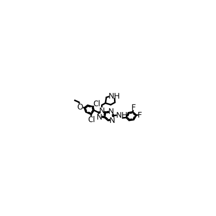 CCOc1cc(Cl)c(-c2nc3cnc(NCc4ccc(F)c(F)c4)nc3n2CC2CCCNC2)c(Cl)c1